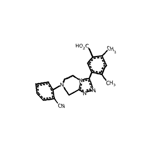 Cc1cc(C)c(-c2nnc3n2CCN(c2ccccc2C#N)C3)cc1C(=O)O